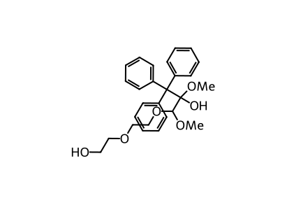 COC(OCCOCCO)C(O)(OC)C(c1ccccc1)(c1ccccc1)c1ccccc1